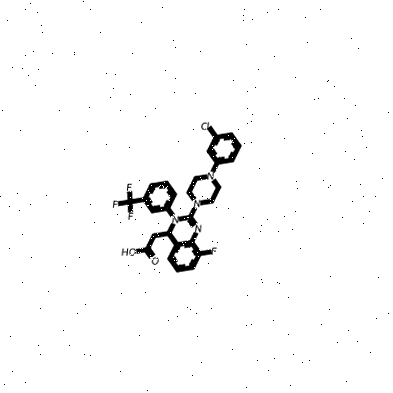 O=C(O)CC1c2cccc(F)c2N=C(N2CCN(c3cccc(Cl)c3)CC2)N1c1cccc(C(F)(F)F)c1